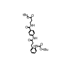 CC(C)(C)OC(=O)CCNC(=O)c1ccc(NC(=O)CCc2ccccc2NC(=O)OC(C)(C)C)cc1